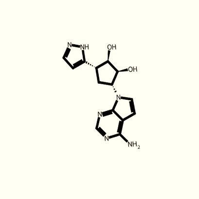 Nc1ncnc2c1ccn2[C@@H]1C[C@H](c2ccn[nH]2)[C@@H](O)[C@H]1O